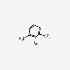 CC(=O)c1c(C(F)(F)F)cccc1C(F)(F)F